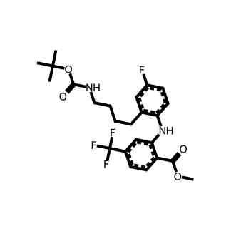 COC(=O)c1ccc(C(F)(F)F)cc1Nc1ccc(F)cc1CCCCNC(=O)OC(C)(C)C